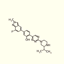 CC(C)C1CN(c2ncc(-c3ccc(-c4cc(F)c5nn(C)cc5c4)cc3O)nn2)CCN1